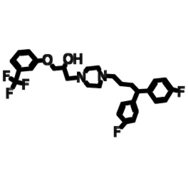 OC(COc1cccc(C(F)(F)F)c1)CN1CCN(CCCC(c2ccc(F)cc2)c2ccc(F)cc2)CC1